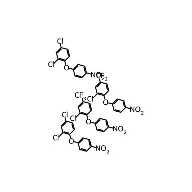 O=[N+]([O-])c1ccc(Oc2ccc(C(F)(F)F)cc2Cl)cc1.O=[N+]([O-])c1ccc(Oc2ccc(C(F)(F)F)cc2Cl)cc1.O=[N+]([O-])c1ccc(Oc2ccc(Cl)cc2Cl)cc1.O=[N+]([O-])c1ccc(Oc2ccc(Cl)cc2Cl)cc1